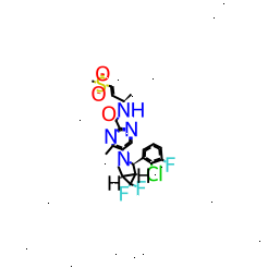 Cc1nc(C(=O)N[C@H](C)/C=C/S(C)(=O)=O)ncc1N1C[C@H]2[C@@H]([C@@H]1c1cccc(F)c1Cl)C2(F)F